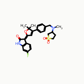 CN(Cc1ccc(C2=CC(=C3C(=O)Nc4cc(F)ccc43)OC2(C)C)cc1)C1CCS(=O)(=O)C1